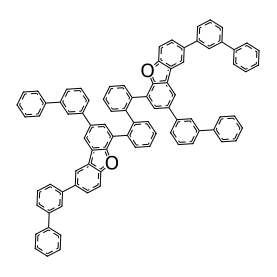 c1ccc(-c2cccc(-c3ccc4oc5c(-c6ccccc6-c6ccccc6-c6cc(-c7cccc(-c8ccccc8)c7)cc7c6oc6ccc(-c8cccc(-c9ccccc9)c8)cc67)cc(-c6cccc(-c7ccccc7)c6)cc5c4c3)c2)cc1